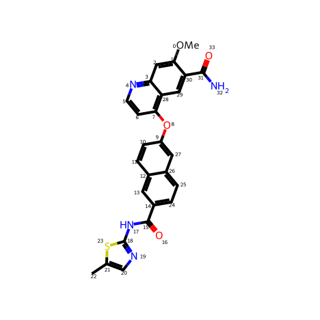 COc1cc2nccc(Oc3ccc4cc(C(=O)Nc5ncc(C)s5)ccc4c3)c2cc1C(N)=O